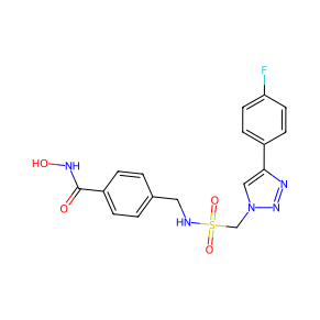 O=C(NO)c1ccc(CNS(=O)(=O)Cn2cc(-c3ccc(F)cc3)nn2)cc1